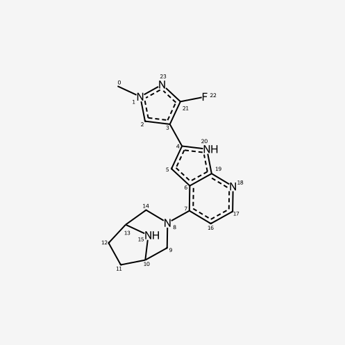 Cn1cc(-c2cc3c(N4CC5CCC(C4)N5)ccnc3[nH]2)c(F)n1